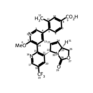 COc1ncc(-c2ccc(C(=O)O)cc2C)cc1-c1ncc(C(F)(F)F)cc1[C@@H]1C=C[C@H]2COC(=O)N21